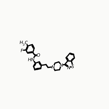 Cc1ccc(C(=O)Nc2cccc(CCN3CCN(c4nsc5ccccc45)CC3)c2)cc1F